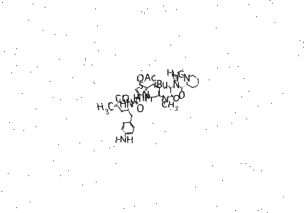 CC[C@H](C)[C@H](NC(=O)[C@H]1CCCCN1C)C(=O)N(C)[C@H](C[C@@H](OC(C)=O)c1nc(C(=O)N[C@@H](Cc2ccc(NI)cc2)C[C@H](C)C(=O)O)cs1)C(C)C